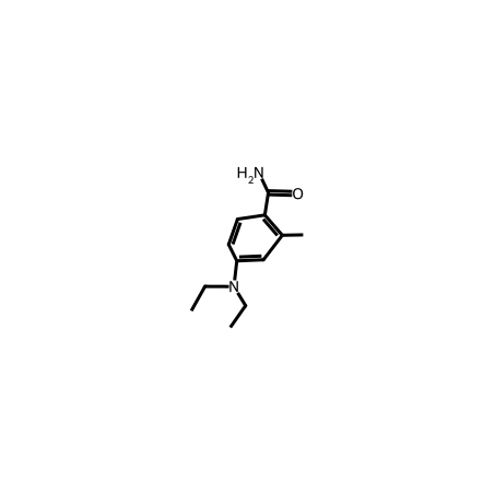 CCN(CC)c1ccc(C(N)=O)c(C)c1